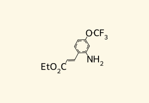 CCOC(=O)C=Cc1ccc(OC(F)(F)F)cc1N